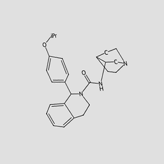 CC(C)Oc1ccc(C2c3ccccc3CCN2C(=O)NC2CN3CCC2CC3)cc1